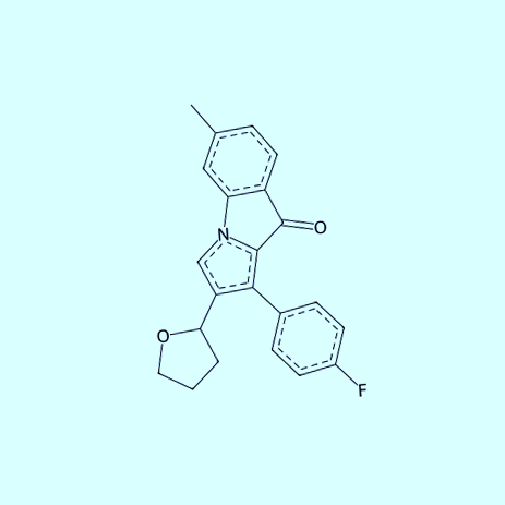 Cc1ccc2c(c1)-n1cc(C3CCCO3)c(-c3ccc(F)cc3)c1C2=O